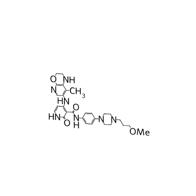 COCCCN1CCN(c2ccc(NC(=O)c3c(Nc4cnc5c(c4C)NCCO5)cc[nH]c3=O)cc2)CC1